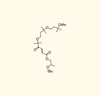 COC(C)(C)CCOC(C)(C)CCOC(C)(C)C(=O)/C=C/C(=O)OCC(C)OC(C)(C)C